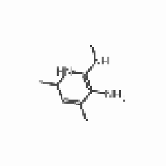 CNC1=C(N)C(C)=CC(C)N1